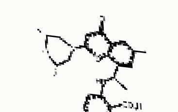 Cc1cc([C@@H](C)Nc2ccccc2C(=O)O)c2oc(N3C[C@@H](C)O[C@@H](C)C3)cc(=O)c2c1